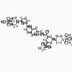 CC(C)(O)C1CCN(c2cc(C(=O)NCc3cc4nc(-c5cccc(N6CCC(C(C)(C)O)CC6)n5)ccc4cn3)cc(S(C)(=O)=O)c2)CC1